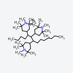 CCCCCCCC(C1CC(C)(C)N(C)C(C)(C)C1)C(C1CC(C)(C)N(C)C(C)(C)C1)C(CCCC)C1CC(C)(C)N(C)C(C)(C)C1